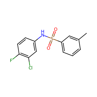 Cc1cccc(S(=O)(=O)Nc2ccc(F)c(Cl)c2)c1